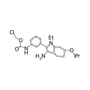 CCn1c(-c2cccc(NC(=O)OCCl)c2)c(N)c2ccc(OC(C)C)cc21